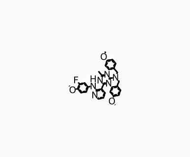 COc1ccc(CN(Cc2ccc(OC)cc2)c2nc(C)nc(-c3cccnc3Nc3ccc(OC)c(F)c3)n2)cc1